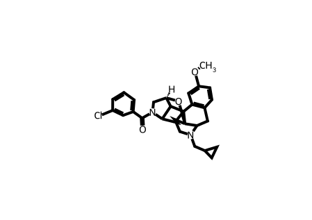 COc1ccc2c(c1)C13CCN(CC4CC4)C(C2)C12CCC1C3[C@@H](CN1C(=O)c1cccc(Cl)c1)O2